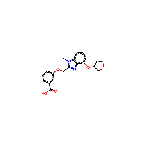 Cn1c(COc2cccc(C(=O)O)c2)nc2c(OC3CCOC3)cccc21